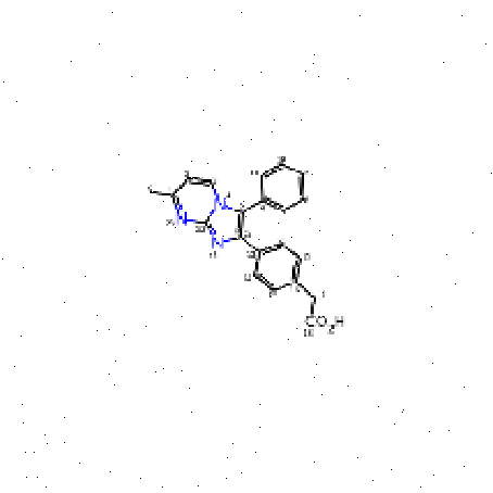 Cc1ccn2c(-c3ccccc3)c(-c3ccc(CC(=O)O)cc3)nc2n1